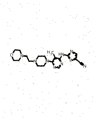 Cc1c(Nc2ncc(C#N)s2)ncnc1N1CCN(CCN2CCOCC2)CC1